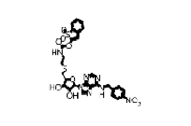 O=C(NCCSC[C@H]1O[C@@H](n2cnc3c(NCc4ccc([N+](=O)[O-])cc4)ncnc32)C(O)C1O)OC1=Cc2ccccc2S1(=O)=O